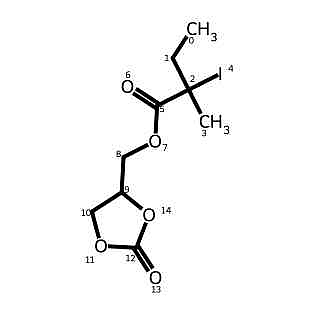 CCC(C)(I)C(=O)OCC1COC(=O)O1